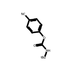 CC(C)(C)NC(=O)Oc1ccc(C#N)cc1